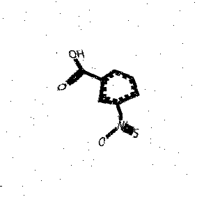 O=C(O)c1cccc([N+]([O-])=S)c1